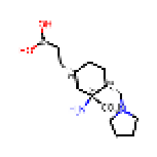 N[C@]1(C(=O)O)C[C@H](CCB(O)O)CC[C@@H]1CN1CCCC1